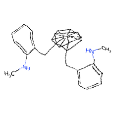 CNc1ccccc1C[C]12[CH]3[CH]4[CH]5[C]1(Cc1ccccc1NC)[Fe]43521678[CH]2[CH]1[CH]6[CH]7[CH]28